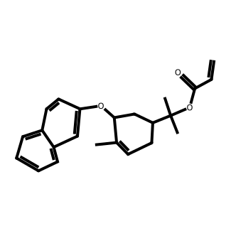 C=CC(=O)OC(C)(C)C1CC=C(C)C(Oc2ccc3ccccc3c2)C1